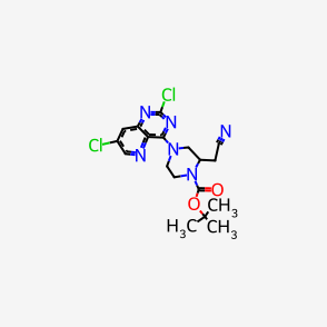 CC(C)(C)OC(=O)N1CCN(c2nc(Cl)nc3cc(Cl)cnc23)CC1CC#N